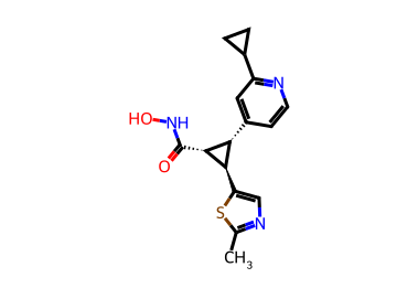 Cc1ncc([C@H]2[C@H](C(=O)NO)[C@@H]2c2ccnc(C3CC3)c2)s1